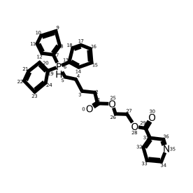 O=C(CCCC[PH](c1ccccc1)(c1ccccc1)c1ccccc1)OCCOC(=O)c1cccnc1